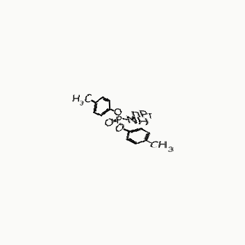 CCCNP(=O)(Oc1ccc(C)cc1)Oc1ccc(C)cc1